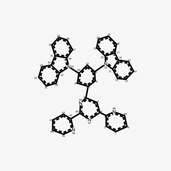 c1ccc(-c2cc(-c3cc(-n4c5ccccc5c5ccccc54)cc(-n4c5ccccc5c5ccccc54)c3)nc(-c3ccccn3)n2)nc1